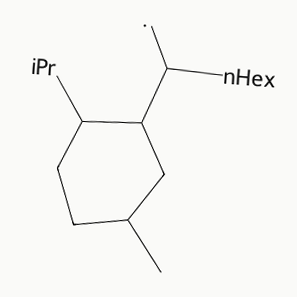 [CH2]C(CCCCCC)C1CC(C)CCC1C(C)C